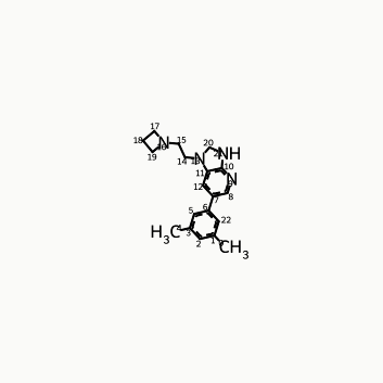 Cc1cc(C)cc(-c2cnc3c(c2)N(CCN2CCC2)CN3)c1